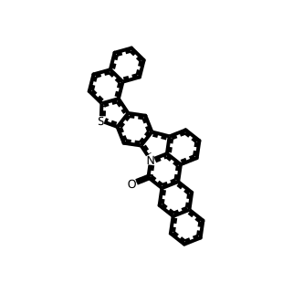 O=c1c2cc3ccccc3cc2c2cccc3c4cc5c(cc4n1c23)sc1ccc2ccccc2c15